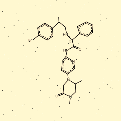 CC(CN[C@H](C(=O)Nc1ccc(N2CC(=O)N(C)CC2C)cn1)c1ccccc1)c1ccc(C#N)cc1